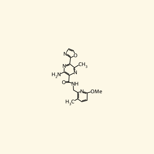 COc1ccc(C)c(CNC(=O)c2nc(C)c(-c3ncco3)nc2N)n1